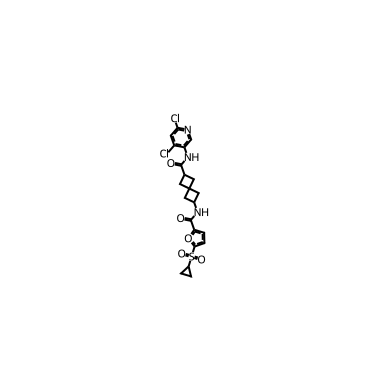 O=C(NC1CC2(C1)CC(C(=O)Nc1cnc(Cl)cc1Cl)C2)c1ccc(S(=O)(=O)C2CC2)o1